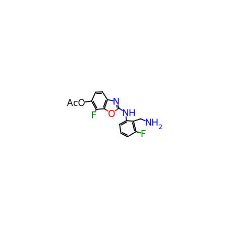 CC(=O)Oc1ccc2nc(Nc3cccc(F)c3CN)oc2c1F